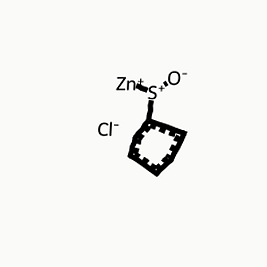 [Cl-].[O-][S+]([Zn+])c1ccccc1